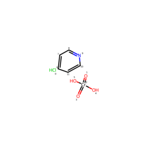 Cl.[O]=[Cr](=[O])([OH])[OH].c1ccncc1